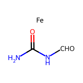 NC(=O)NC=O.[Fe]